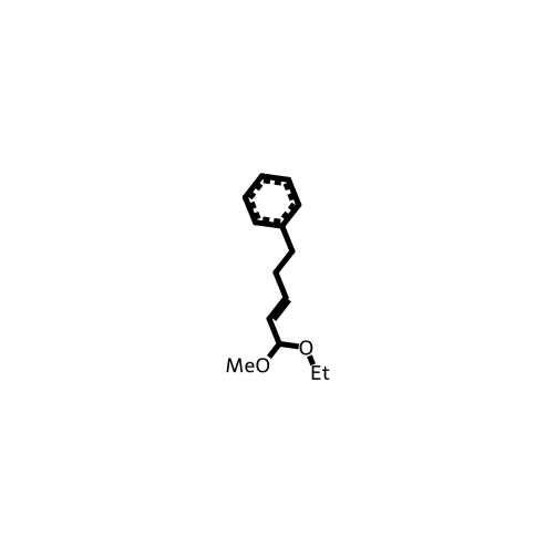 CCOC(C=CCCc1ccccc1)OC